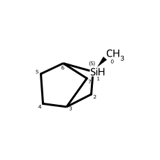 C[Si@H]1CC2CCC1C2